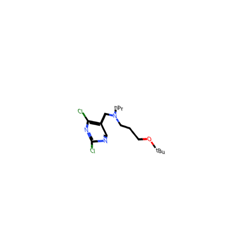 CCCN(CCCOC(C)(C)C)Cc1cnc(Cl)nc1Cl